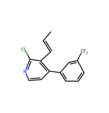 C/C=C/c1c(-c2cccc(C(F)(F)F)c2)ccnc1Cl